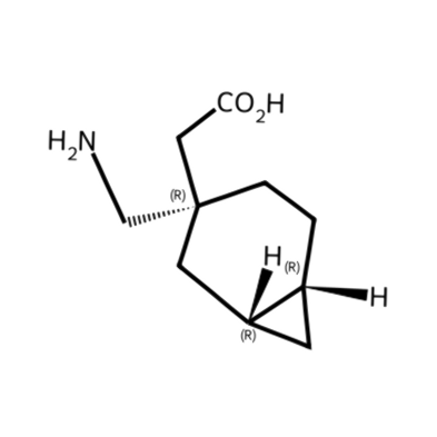 NC[C@]1(CC(=O)O)CC[C@@H]2C[C@@H]2C1